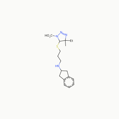 CCC1(C)N=NN(C(=O)O)C1SCCCNC1Cc2ccccc2C1